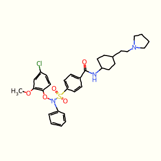 COc1cc(Cl)ccc1ON(c1ccccc1)S(=O)(=O)c1ccc(C(=O)NC2CCC(CCN3CCCC3)CC2)cc1